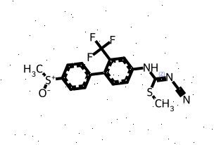 CS/C(=N\C#N)Nc1ccc(-c2ccc([S+](C)[O-])cc2)c(C(F)(F)F)c1